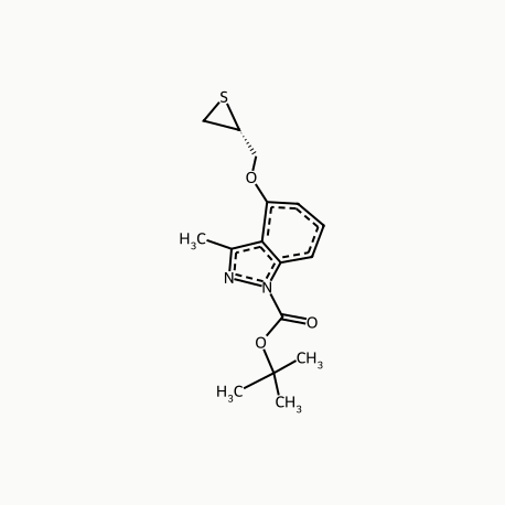 Cc1nn(C(=O)OC(C)(C)C)c2cccc(OC[C@@H]3CS3)c12